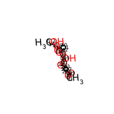 CCC(O)COC(=O)C1CCCCC1C(=O)OCC(O)COC(=O)c1ccc(C(=O)OC)cc1